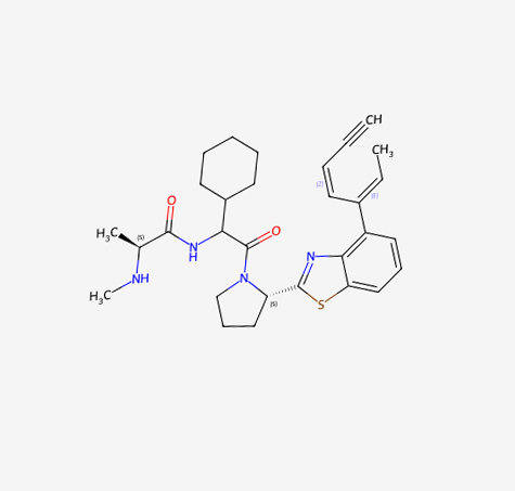 C#C/C=C\C(=C/C)c1cccc2sc([C@@H]3CCCN3C(=O)C(NC(=O)[C@H](C)NC)C3CCCCC3)nc12